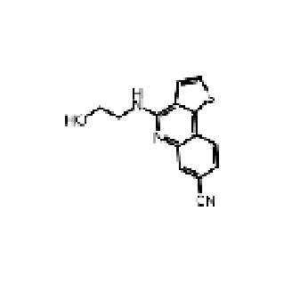 N#Cc1ccc2c(c1)nc(NCCO)c1ccsc12